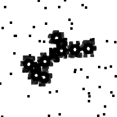 c1ccc(-c2ccc(-c3cc4sc(-c5ccc(-n6c7ccccc7c7ccc8ccccc8c76)cc5)nc4c4c3sc3ccccc34)cc2)cc1